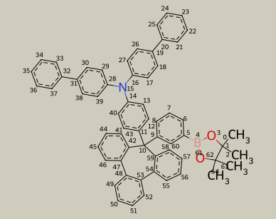 CC1(C)OB(c2cccc(C3(c4ccc(N(c5ccc(-c6ccccc6)cc5)c5ccc(-c6ccccc6)cc5)cc4)c4ccccc4-c4ccccc4-c4ccccc43)c2)OC1(C)C